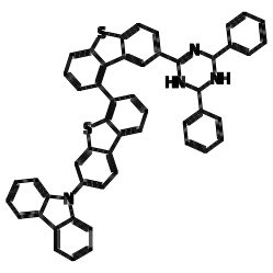 c1ccc(C2N=C(c3ccc4sc5cccc(-c6cccc7c6sc6cc(-n8c9ccccc9c9ccccc98)ccc67)c5c4c3)NC(c3ccccc3)N2)cc1